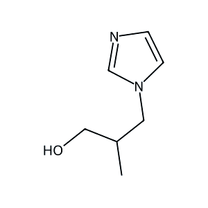 CC(CO)Cn1ccnc1